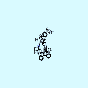 COC(=O)N[C@H](C(=O)NC(/C=C/C[C@H](NS(=O)(=O)c1ccc([N+](=O)[O-])cc1)C(=O)OC)C(F)(F)F)C(c1ccccc1)c1ccccc1